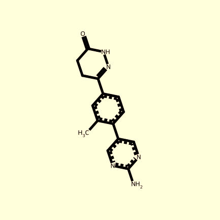 Cc1cc(C2=NNC(=O)CC2)ccc1-c1cnc(N)nc1